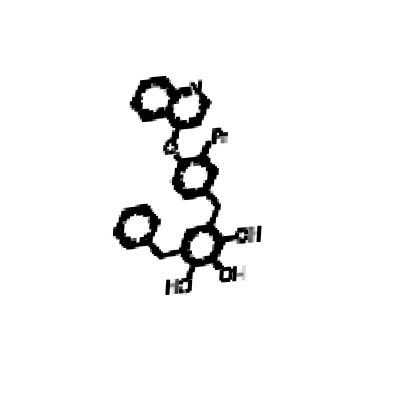 CC(C)c1cc(Cc2cc(Cc3ccccc3)c(O)c(O)c2O)ccc1Oc1ccnc2ccccc12